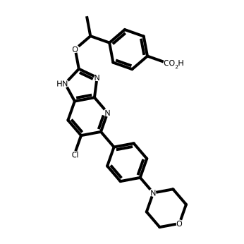 CC(Oc1nc2nc(-c3ccc(N4CCOCC4)cc3)c(Cl)cc2[nH]1)c1ccc(C(=O)O)cc1